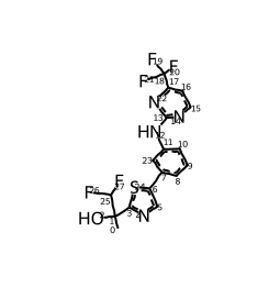 CC(O)(c1ncc(-c2cccc(Nc3nccc(C(F)(F)F)n3)c2)s1)C(F)F